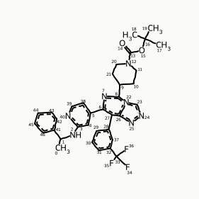 CC(Nc1cc(-c2nc(C3CCN(C(=O)OC(C)(C)C)CC3)n3cnnc3c2-c2cccc(C(F)(F)F)c2)ccn1)c1ccccc1